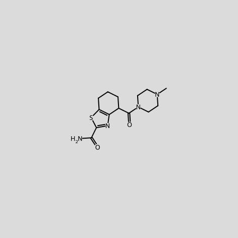 CN1CCN(C(=O)C2CCCc3sc(C(N)=O)nc32)CC1